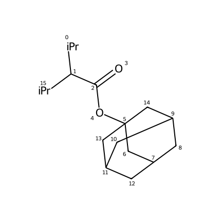 CC(C)C(C(=O)OC12CC3CC(CC(C3)C1)C2)C(C)C